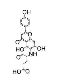 O=C[C@H](CCC(=O)O)Nc1c(O)cc2oc(-c3ccc(O)cc3)cc(=O)c2c1O